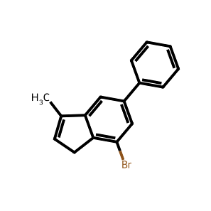 CC1=CCc2c(Br)cc(-c3ccccc3)cc21